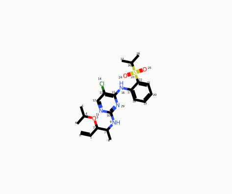 C=CC(OC(C)C)C(C)Nc1ncc(Cl)c(Nc2ccccc2S(=O)(=O)C(C)C)n1